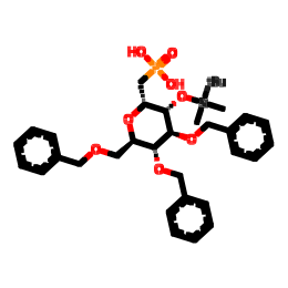 CC(C)(C)[Si](C)(C)O[C@@H]1[C@@H](OCc2ccccc2)[C@H](OCc2ccccc2)[C@@H](COCc2ccccc2)O[C@@H]1CP(=O)(O)O